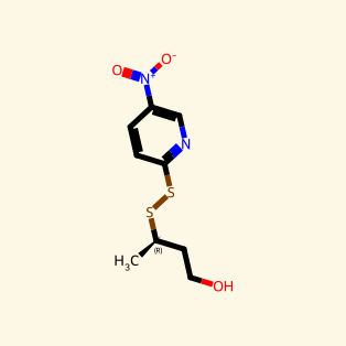 C[C@H](CCO)SSc1ccc([N+](=O)[O-])cn1